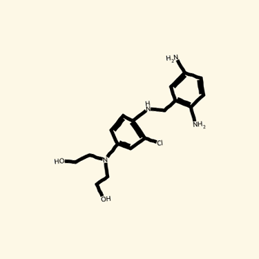 Nc1ccc(N)c(CNc2ccc(N(CCO)CCO)cc2Cl)c1